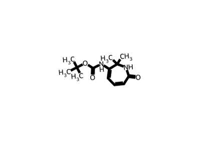 CC(C)(C)OC(=O)NC1=CC=CC(=O)NC1(C)C